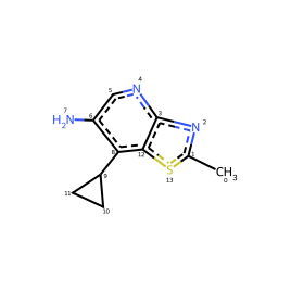 Cc1nc2ncc(N)c(C3CC3)c2s1